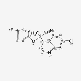 CC(C#N)(Oc1ccc(F)cc1)c1ccnc2cc(Cl)ccc12